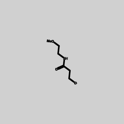 COCCNC(=O)CC[O]